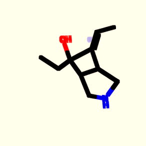 C/C=C1\C2CNCC2C1(O)CC